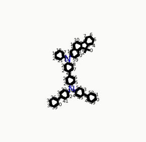 CC1(C)c2ccccc2-c2ccc3cc(N(c4ccccc4)c4ccc(-c5ccc(N(c6ccc(-c7ccccc7)cc6)c6ccc(-c7ccccc7)cc6)cc5)cc4)ccc3c21